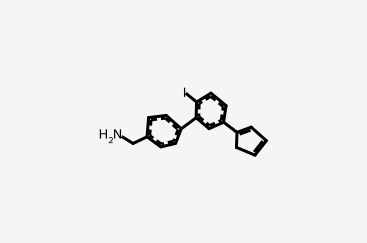 NCc1ccc(-c2cc(C3=CC=CC3)ccc2I)cc1